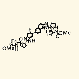 COC(=O)NC(C(=O)N1CCC[C@H]1c1nc2cc(F)c(-c3ccc4c(ccc5nc([C@@H]6CCCN6C(=O)C(NC(=O)OC)C(C)C)[nH]c54)c3)cc2[nH]1)C(C)C